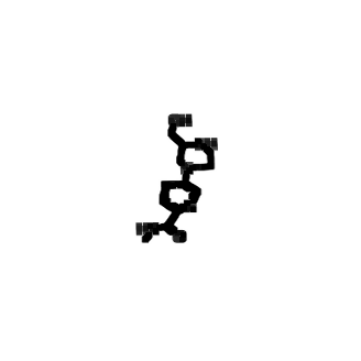 CNC(=O)c1ccc(N2CCNC(CO)C2)cn1